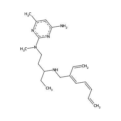 C=C/C=C\C=C(/C=C)CNC(CC)CCN(C)c1nc(C)cc(N)n1